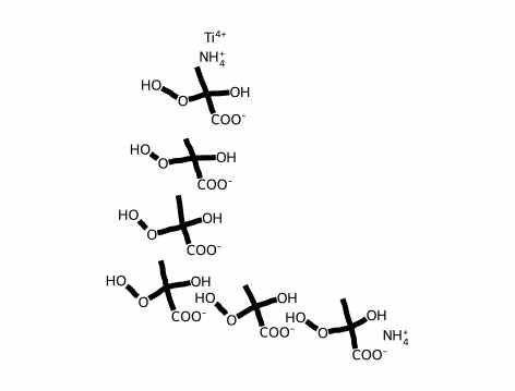 CC(O)(OO)C(=O)[O-].CC(O)(OO)C(=O)[O-].CC(O)(OO)C(=O)[O-].CC(O)(OO)C(=O)[O-].CC(O)(OO)C(=O)[O-].CC(O)(OO)C(=O)[O-].[NH4+].[NH4+].[Ti+4]